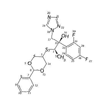 C[C@@H](SC1COC(c2ccccc2)OC1)[C@](O)(Cn1cncn1)c1ccc(F)cc1F